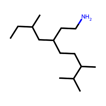 CCC(C)CC(CCN)CCC(C)C(C)C